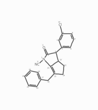 N#CN1C(=O)C(c2cccc(Cl)c2)C2CCC(Cc3ccccc3)=C21